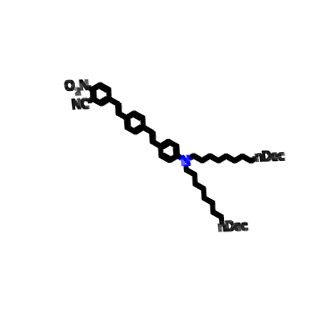 CCCCCCCCCCCCCCCCCCN(CCCCCCCCCCCCCCCCCC)c1ccc(C=Cc2ccc(C=Cc3ccc([N+](=O)[O-])c(C#N)c3)cc2)cc1